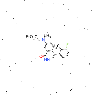 CCOC(=O)CN(C)c1ccc2c(-c3cccc(F)c3C)c[nH]c(=O)c2c1